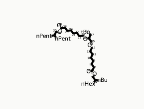 CCCCCCC(CCCC)COC(=O)CCCCCCCOCC(CC(C)(C)C)OCCCCCCCC(=O)OCC(CCCCC)CCCCC